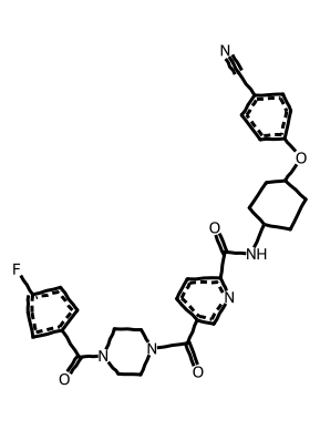 N#Cc1ccc(OC2CCC(NC(=O)c3ccc(C(=O)N4CCN(C(=O)c5ccc(F)cc5)CC4)cn3)CC2)cc1